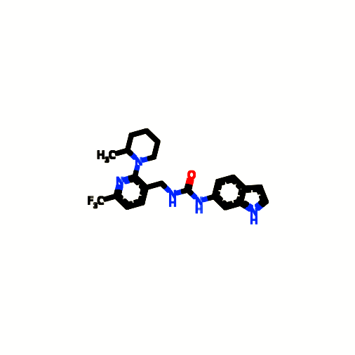 CC1CCCCN1c1nc(C(F)(F)F)ccc1CNC(=O)Nc1ccc2cc[nH]c2c1